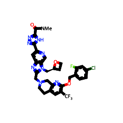 CNC(=O)c1nnc(-c2cc3nc(CN4CCc5cc(C(F)(F)F)c(OCc6ccc(Cl)cc6F)nc5C4)n(C[C@@H]4CCO4)c3cn2)[nH]1